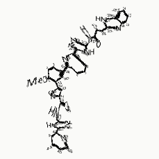 COc1ccc(-c2cccc(-c3nnc(NC(=O)CCc4nc5ccccc5[nH]4)[nH]3)n2)cc1-c1cc(C(=O)Nc2nnc(-c3ccccn3)[nH]2)no1